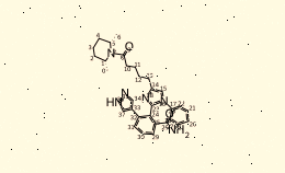 C[C@@H]1CCC[C@H](C)N1C(=O)CCCCc1cn(-c2ccccc2)c(-c2c(C(N)=O)cccc2-c2cn[nH]c2)n1